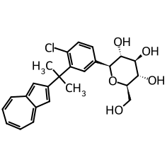 CC(C)(c1cc2cccccc-2c1)c1cc([C@@H]2O[C@H](CO)[C@@H](O)[C@H](O)[C@H]2O)ccc1Cl